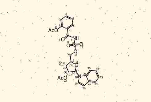 CC(=O)Oc1ccccc1C(=O)NS(=O)(=O)OC[C@H]1O[C@@H](n2ccc3ccccc32)[C@H](OC(C)=O)[C@@H]1C